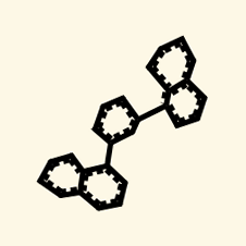 [c]1ccc(-c2cccc3ccccc23)cc1-c1cccc2ccccc12